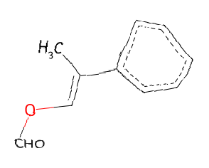 CC(=COC=O)c1ccccc1